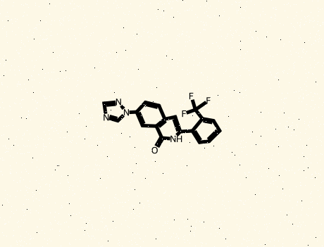 O=c1[nH]c(-c2ccccc2C(F)(F)F)cc2ccc(-n3cncn3)cc12